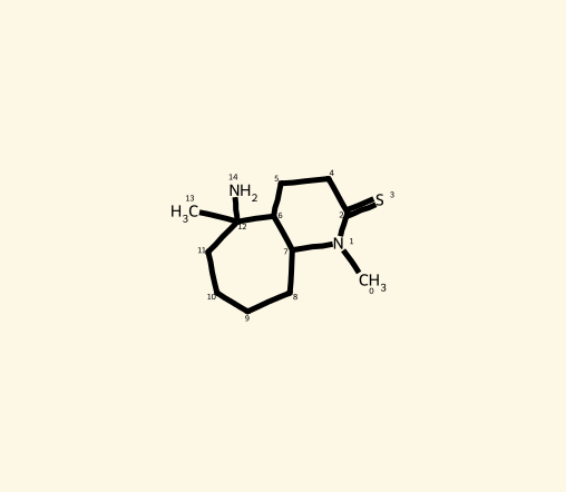 CN1C(=S)CCC2C1CCCCC2(C)N